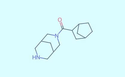 O=C(C1CC2CCC1C2)N1CC2CNCC(C2)C1